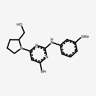 CCCc1cc(N2CCCC2CO)nc(Nc2cccc(SC)c2)n1